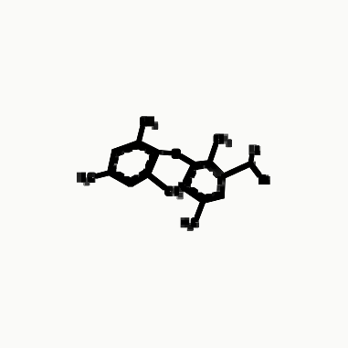 CC[C](CC)c1cc(C)nc(Oc2c(C)cc(C)cc2C)c1C